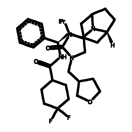 CC(C)N1C(=O)N(CC2CCOC2)CC12CC1CC[C@H](C2)N1CC[C@H](NC(=O)C1CCC(F)(F)CC1)c1ccccc1